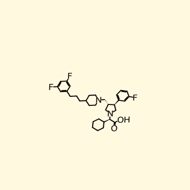 O=C(O)[C@@H](C1CCCCC1)N1C[C@H](CN2CCC(CCCc3cc(F)cc(F)c3)CC2)[C@@H](c2cccc(F)c2)C1